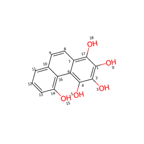 Oc1c(O)c(O)c2c(ccc3cccc(O)c32)c1O